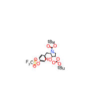 CC(C)(C)OC(=O)O[C@H]1CN(C(=O)OC(C)(C)C)[C@H](Cc2ccc(OS(=O)(=O)C(F)(F)F)cc2)[C@@H]1O